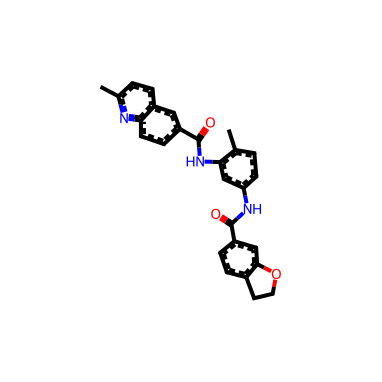 Cc1ccc2cc(C(=O)Nc3cc(NC(=O)c4ccc5c(c4)OCC5)ccc3C)ccc2n1